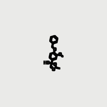 CCOC(O)(C=O)c1ccc(OCc2ccccc2)c(OC)c1